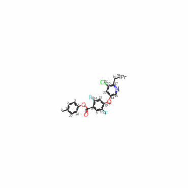 Cc1ccc(OC(=O)c2cc(F)c(Oc3cnc(CC(C)C)c(Cl)c3)cc2F)cc1